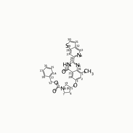 Cc1cc(O[C@@H]2CCN(C(=O)OCc3ccccc3)C2)cc2c(=O)[nH]c(-c3cc4sccc4cn3)nc12